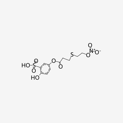 O=C(CCSCCO[N+](=O)[O-])Oc1ccc(O)c(S(=O)(=O)O)c1